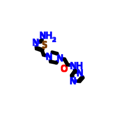 Nc1ncc(CN2CCN(CC(=O)Nc3cnccn3)CC2)s1